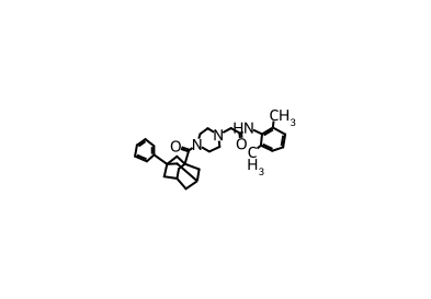 Cc1cccc(C)c1NC(=O)CN1CCN(C(=O)C23CC4CC(C2)CC(c2ccccc2)(C4)C3)CC1